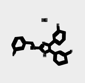 Cl.Fc1cccc(CNC2=NC(c3cccc(F)c3)C(c3cccc(F)c3)N2)c1